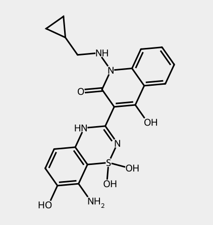 Nc1c(O)ccc2c1S(O)(O)N=C(c1c(O)c3ccccc3n(NCC3CC3)c1=O)N2